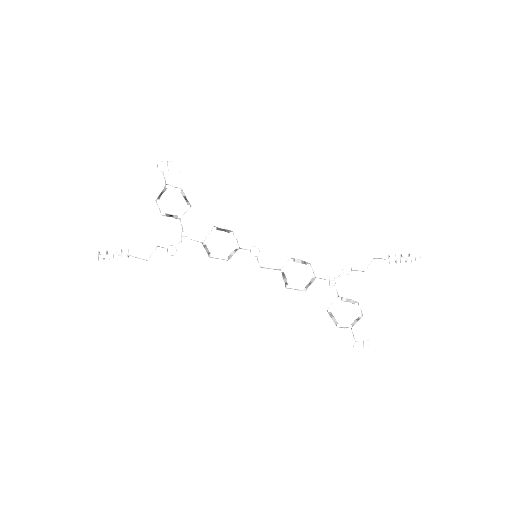 CNCCOB(c1ccc(COc2ccc(B(OCCNC)c3ccc(C(F)(F)F)cc3)cc2)cc1)c1ccc(C(F)(F)F)cc1